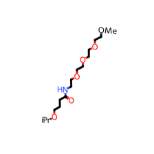 COCCOCCOCCOCCNC(=O)CCCOC(C)C